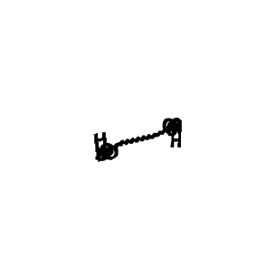 O=C(CCCCCCCCCCCCCCCCCCCCCCC(=O)OC1=CC=CC=CN1)OC1=CC=CC=CN1